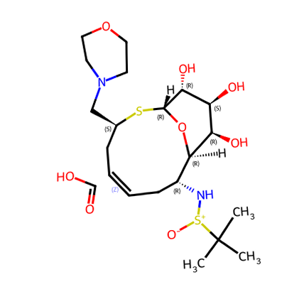 CC(C)(C)[S+]([O-])N[C@@H]1C/C=C\C[C@@H](CN2CCOCC2)S[C@H]2O[C@H]1[C@H](O)[C@H](O)[C@H]2O.O=CO